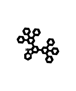 C1=CC2Nc3c(-c4cc(-c5ccccc5)c(-c5ccccc5)c(-c5ccccc5)c4)cc(-c4cc(-c5ccccc5)c(-c5ccccc5)c(-c5ccccc5)c4)cc3N2C=C1